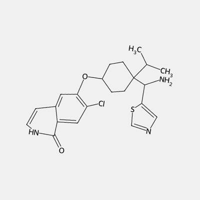 CC(C)C1(C(N)c2cncs2)CCC(Oc2cc3cc[nH]c(=O)c3cc2Cl)CC1